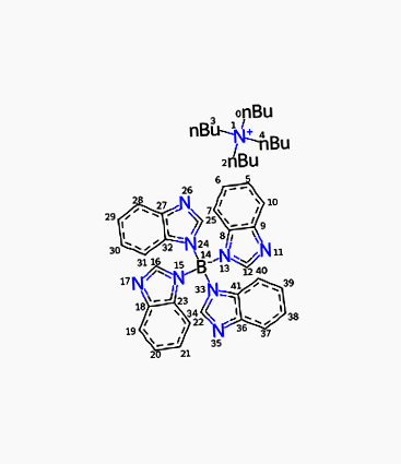 CCCC[N+](CCCC)(CCCC)CCCC.c1ccc2c(c1)ncn2[B-](n1cnc2ccccc21)(n1cnc2ccccc21)n1cnc2ccccc21